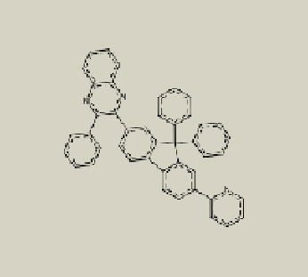 c1ccc(-c2nc3ccccc3nc2-c2ccc3c(c2)C(c2ccccc2)(c2ccccc2)c2cc(-c4ccccn4)ccc2-3)cc1